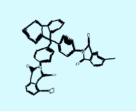 Cc1ccc2c(c1)C(=O)N(c1ccc(C3(c4ccc(N5C(=O)c6cccc(Cl)c6C5=O)cc4)c4ccccc4-c4ccccc43)cc1)C2=O